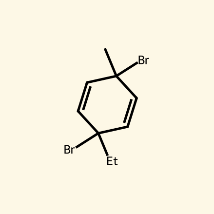 CCC1(Br)C=CC(C)(Br)C=C1